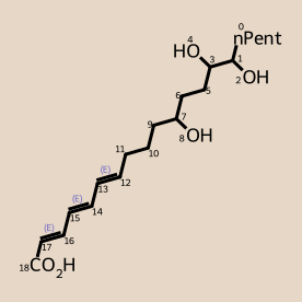 CCCCCC(O)C(O)CCC(O)CCC/C=C/C=C/C=C/C(=O)O